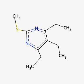 CCc1nc(SC)nc(CC)c1CC